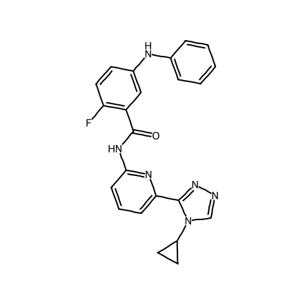 O=C(Nc1cccc(-c2nncn2C2CC2)n1)c1cc(Nc2ccccc2)ccc1F